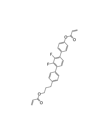 C=CC(=O)OCCCc1ccc(-c2ccc(-c3ccc(OC(=O)C=C)cc3)c(F)c2F)cc1